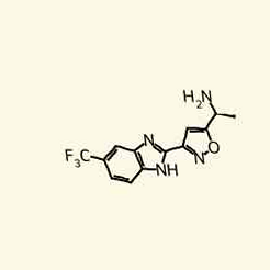 C[C@H](N)c1cc(-c2nc3cc(C(F)(F)F)ccc3[nH]2)no1